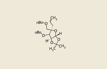 C=CC[C@]1(COCCCC)O[C@@H]2OC(C)(C)O[C@H]2C1OCCCC